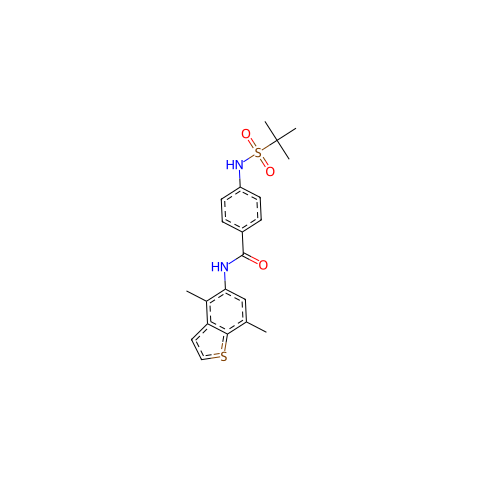 Cc1c(NC(=O)c2ccc(NS(=O)(=O)C(C)(C)C)cc2)cc(C)c2sccc12